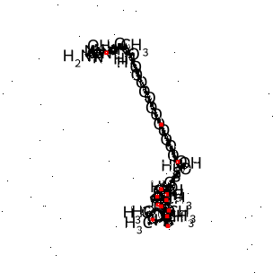 CCN1CCc2c([nH]c3ccccc23)[C@@](C(=O)OC)(c2cc3c(cc2OC)N(C)[C@H]2[C@@](O)(C(=O)NNC(=O)OCCSSC[C@H](NC(=O)CCOCCOCCOCCOCCOCCOCCOCCOCCOCCOCCOCCOCCNC(=O)CC[C@@H](C)NC(=O)c4ccc(NCc5cnc6nc(N)nc(O)c6n5)cc4)C(=O)O)[C@H](O)[C@]4(CC)C=CCN5CC[C@]32[C@@H]54)CCC[C@@](O)(CC)C1